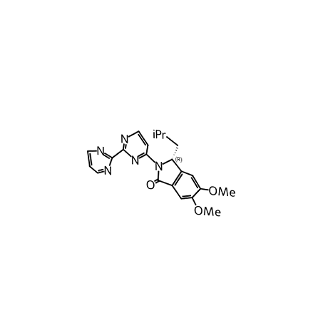 COc1cc2c(cc1OC)[C@@H](CC(C)C)N(c1ccnc(-c3ncccn3)n1)C2=O